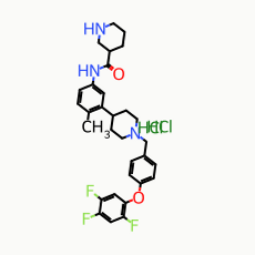 Cc1ccc(NC(=O)C2CCCNC2)cc1C1CCN(Cc2ccc(Oc3cc(F)c(F)cc3F)cc2)CC1.Cl.Cl